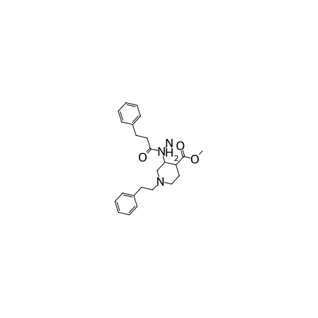 COC(=O)C1CCN(CCc2ccccc2)CC1N(N)C(=O)CCc1ccccc1